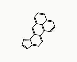 C1=Cc2ccc3c(cc4cccc5cccc3c54)c2=C1